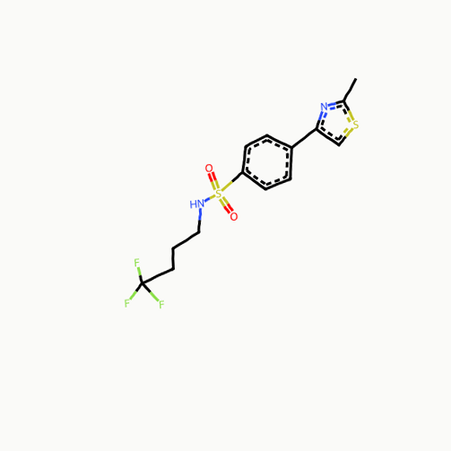 Cc1nc(-c2ccc(S(=O)(=O)NCCCC(F)(F)F)cc2)cs1